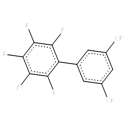 Fc1c(F)c(F)c(-c2cc(C(F)(F)F)cc(C(F)(F)F)c2)c(F)c1F